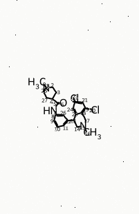 CN1CCC(C(=O)Nc2cccc(C3CN(C)Cc4c(Cl)cc(Cl)cc43)c2)CC1